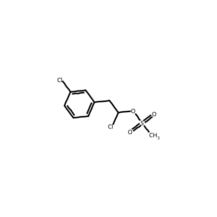 CS(=O)(=O)OC(Cl)Cc1cccc(Cl)c1